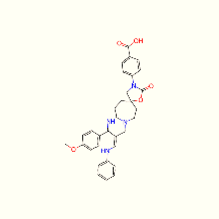 COc1ccc(C(=N)/C(=C\Nc2ccccc2)CN2CCCC3(CC2)CN(c2ccc(C(=O)O)cc2)C(=O)O3)cc1